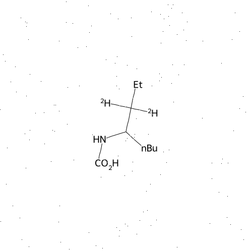 [2H]C([2H])(CC)C(CCCC)NC(=O)O